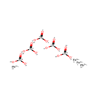 [Fe+3].[Fe+3].[O]=[Ti]([O-])[O-].[O]=[Ti]([O-])[O-].[O]=[Ti]([O-])[O-].[O]=[Ti]([O-])[O-].[O]=[Ti]([O-])[O-].[Pb+2].[Pb+2]